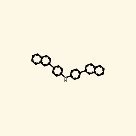 c1ccc2cc(-c3ccc(Nc4ccc(-c5ccc6ccccc6c5)cc4)cc3)ccc2c1